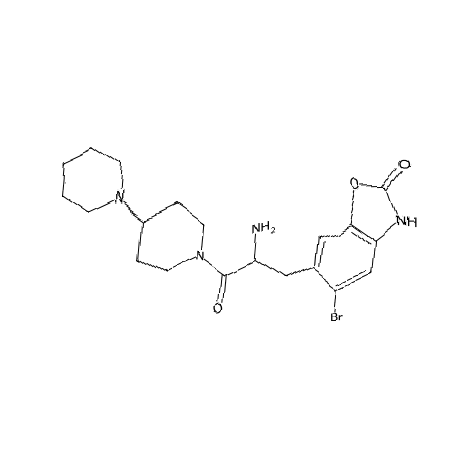 NC(Cc1cc2oc(=O)[nH]c2cc1Br)C(=O)N1CCC(N2CCCCC2)CC1